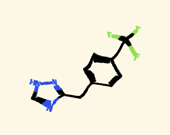 FC(F)(F)c1ccc(Cc2nc[nH]n2)cc1